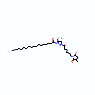 CC1CC(=O)N(CCCCCC(=O)NCC(NC(=O)CCCCCCCCCCCCCCCCC(=O)O)C(=O)O)C1=O